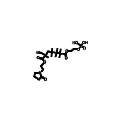 CC(C)(C)C(C)(CC(C)(C)C(C)(C)C(C)(C)C(=O)OCCOP(=O)(O)O)C(=O)OCCN1CCCC1=O